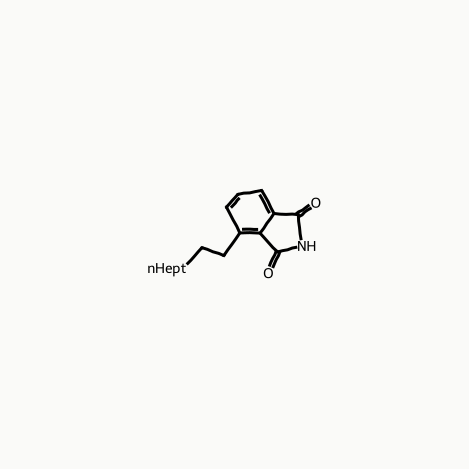 CCCCCCCCCc1cccc2c1C(=O)NC2=O